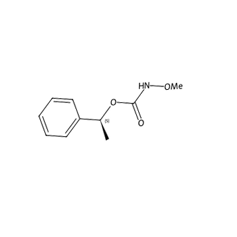 CONC(=O)O[C@@H](C)c1ccccc1